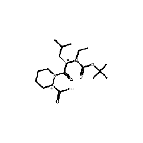 CCN(C(=O)OC(C)(C)C)[C@@H](CC(C)C)C(=O)N1CCCC[C@@H]1C(=O)O